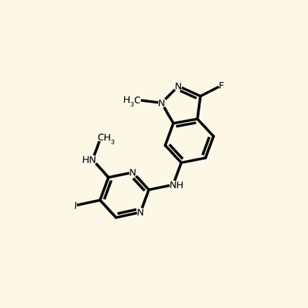 CNc1nc(Nc2ccc3c(F)nn(C)c3c2)ncc1I